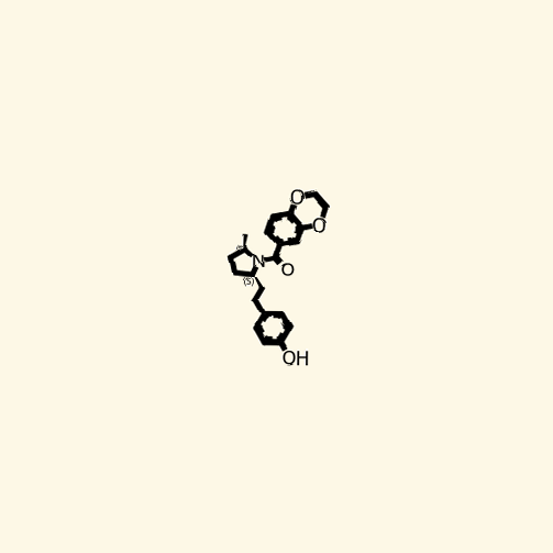 C[C@@H]1CC[C@H](CCc2ccc(O)cc2)N1C(=O)c1ccc2c(c1)OCCO2